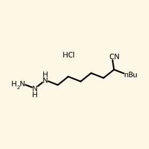 CCCCC(C#N)CCCCCNNN.Cl